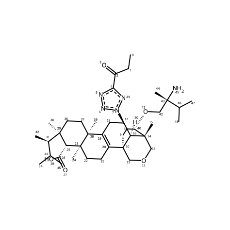 CCC(=O)c1nnn([C@@H]2C[C@@]34COC[C@](C)([C@@H]3CCC3=C4CC[C@@]4(C)[C@H](C(=O)O)[C@@](C)([C@H](C)C(C)C)CC[C@@]34C)[C@H]2OC[C@](C)(N)C(C)C)n1